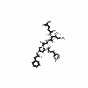 CC[C@H](C)[C@H](NC(=O)CCC(=O)O)C(=O)NCC(=O)N1C[C@H](OC(=O)Cc2ccccc2)C[C@H]1C(=O)NCc1nn[nH]n1